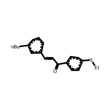 CCCCc1cccc(/C=C/C(=O)c2ccc(SCC)cc2)c1